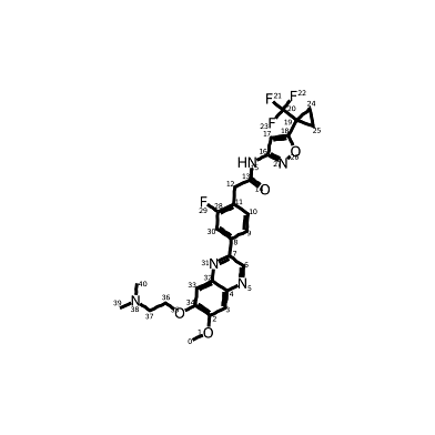 COc1cc2ncc(-c3ccc(CC(=O)Nc4cc(C5(C(F)(F)F)CC5)on4)c(F)c3)nc2cc1OCCN(C)C